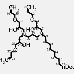 C=CCOCC(O)CN(CCCCCCCCCCCCCCCCCC)CCCN(CC(O)COCC=C)CC(O)COCC=C